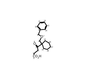 O=C(O)CCC(=O)C1(COCc2ccccc2)CCCCC1